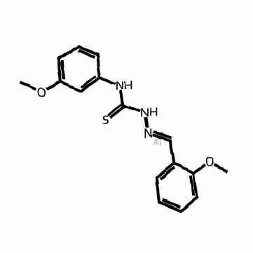 COc1cccc(NC(=S)N/N=C/c2ccccc2OC)c1